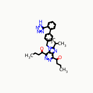 CCCC(=O)c1nnc(C(=O)CCC)c2c1nc(C(C)C)n2Cc1ccc(-c2ccccc2-c2nnn[nH]2)cc1